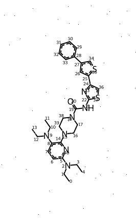 CCN(CC)c1ccc(N(CC)CC)c(N2CCN(C(=O)Nc3nc(-c4cc(-c5ccccc5)cs4)cs3)CC2)n1